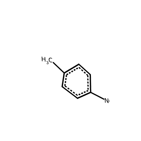 Cc1ccc([N])cc1